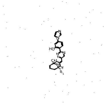 C[C@]12CCC[C@](C)(N1)[C@H](F)/C(=C/c1cnc(-c3ccc(-n4ccnc4)cc3O)nn1)C2